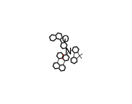 CC1(C)c2ccccc2-c2c(N(c3ccc(-c4cccc5cccc(-c6ccccc6)c45)cc3)c3ccc4c(c3)oc3ccc5ccccc5c34)cccc21